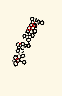 c1ccc(-c2ccccc2-c2ccccc2N(c2ccc3c(c2)C2(c4ccccc4-3)c3ccccc3-n3c4cccc(-c5ccc(C6(c7ccccc7)c7ccccc7-c7c(N(c8ccc9c(c8)C8(c%10ccccc%10-9)c9ccccc9-n9c%10ccccc%10c%10cccc8c%109)c8ccccc8-c8ccccc8-c8ccccc8)cccc76)cc5)c4c4cccc2c43)c2ccc3sc4ccccc4c3c2)cc1